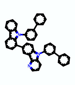 c1ccc(-c2cccc(-n3c4ccc(-c5cccc6c7ccccc7n(-c7cccc(-c8ccccc8)c7)c56)cc4c4ncccc43)c2)cc1